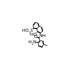 Cc1ccc(N)c(C(=O)Nc2ccc3cccc(S(=O)(=O)O)c3c2O)c1